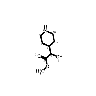 COC(=O)C(O)C1CCNCC1